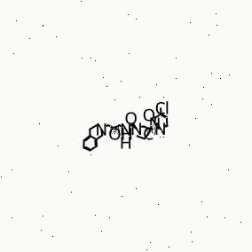 O=C(NC[C@H](O)CN1CCc2ccccc2C1)N1CCC[C@@H](n2nccc(Cl)c2=O)C1